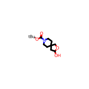 CC(C)(C)OC(=O)N1CCC2(CC1)COC(O)C2